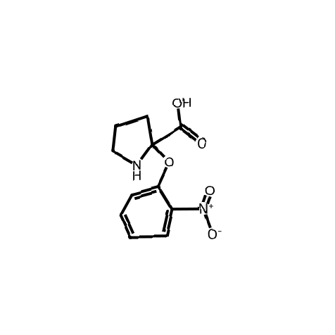 O=C(O)C1(Oc2ccccc2[N+](=O)[O-])CCCN1